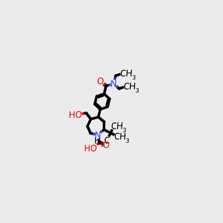 CCN(CC)C(=O)c1ccc(C2CC(C(C)(C)C)N(C(=O)O)CCC2CO)cc1